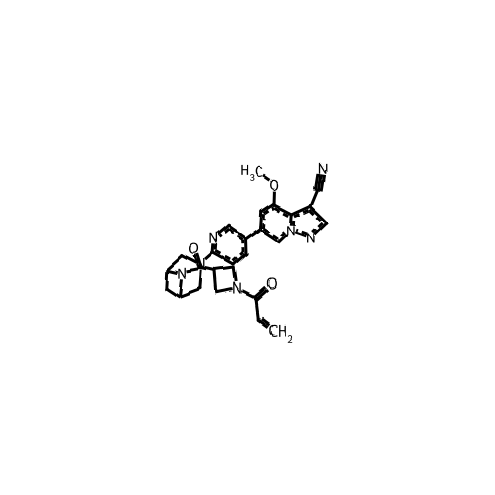 C=CC(=O)N1CC(C(=O)N2C3CC2CN(c2ccc(-c4cc(OC)c5c(C#N)cnn5c4)cn2)C3)C1